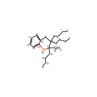 CCCCC1(CCCC)Cc2ccccc2OC1([SiH3])CCCC